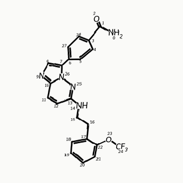 NC(=O)c1ccc(-c2cnc3ccc(NCCc4ccccc4OC(F)(F)F)nn23)cc1